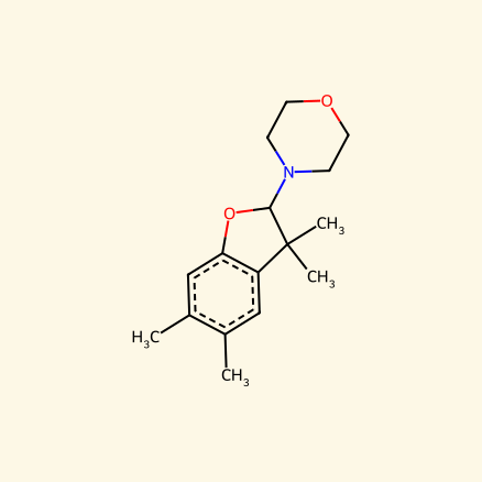 Cc1cc2c(cc1C)C(C)(C)C(N1CCOCC1)O2